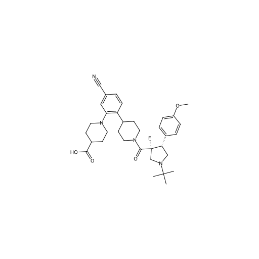 COc1ccc([C@@H]2CN(C(C)(C)C)C[C@@]2(F)C(=O)N2CCC(c3ccc(C#N)cc3N3CCC(C(=O)O)CC3)CC2)cc1